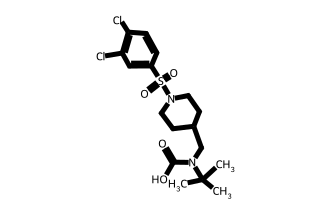 CC(C)(C)N(CC1CCN(S(=O)(=O)c2ccc(Cl)c(Cl)c2)CC1)C(=O)O